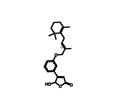 CC1=C(C/C=C(\C)COc2cccc(C3=CC(=O)OC3O)c2)C(C)(C)CCC1